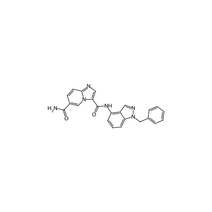 NC(=O)c1ccc2ncc(C(=O)Nc3cccc4c3cnn4Cc3ccccc3)n2c1